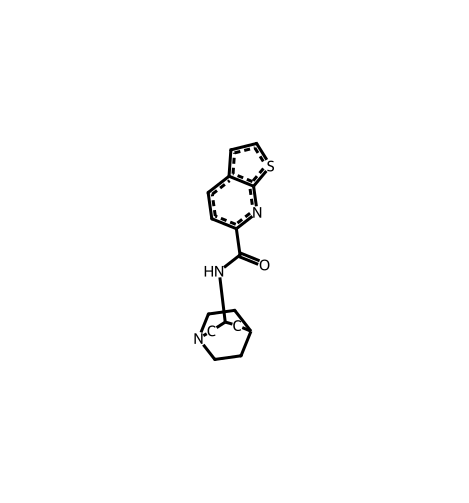 O=C(NC1CC2CCN(CC2)C1)c1ccc2ccsc2n1